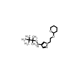 CC(C)(P)C(C)(C)OBc1cnn(CCOC2CCCCO2)c1